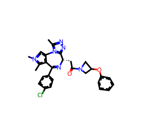 Cc1c2c(cn1C)-n1c(C)nnc1[C@H](CC(=O)N1CC(Oc3ccccc3)C1)N=C2c1ccc(Cl)cc1